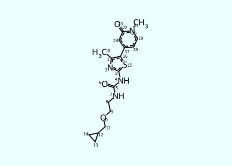 Cc1nc(NC(=O)NCCOCC2CC2)sc1-c1ccn(C)c(=O)c1